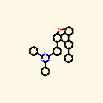 c1ccc(-c2ccc3c(c2)c2c(-c4cccc(-c5nc(-c6ccccc6)nc(-c6ccccc6)n5)c4)ccc4oc5cccc3c5c42)cc1